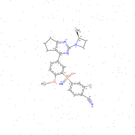 COc1ccc(-c2nc(N3CC[C@@H]3C)nc3c2CCC3)cc1S(=N)(=O)c1ccc(C#N)c(Cl)c1